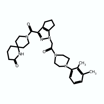 Cc1cccc(N2CCN(C(=O)Cn3nc(C(=O)N4CCC5(CCCC(=O)N5)CC4)c4c3CCC4)CC2)c1C